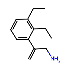 C=C(CN)c1cccc(CC)c1CC